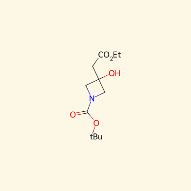 CCOC(=O)CC1(O)CN(C(=O)OC(C)(C)C)C1